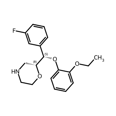 CCOc1ccccc1O[C@@H](c1cccc(F)c1)[C@H]1CNCCO1